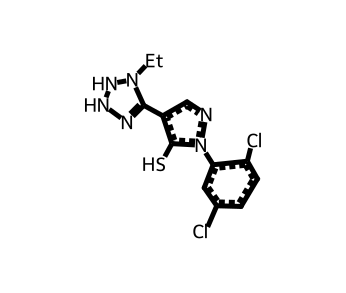 CCN1NNN=C1c1cnn(-c2cc(Cl)ccc2Cl)c1S